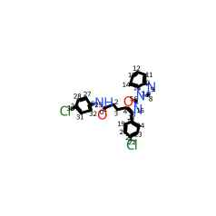 O=C(CCc1oc(-n2cnc3ccccc32)nc1-c1ccc(Cl)cc1)Nc1ccc(Cl)cc1